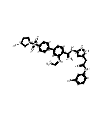 C=C(Nc1cc(CC(=O)Nc2cccc(F)c2)[nH]n1)c1ccc(-c2ccc(S(=O)(=O)N3CC[C@@H](F)C3)cc2)cc1/N=C\N